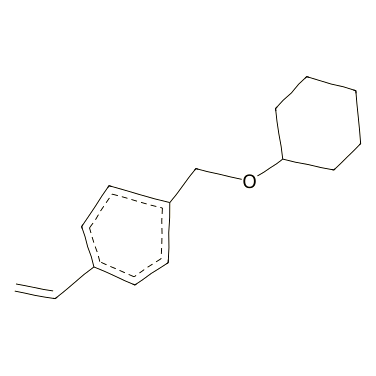 C=Cc1ccc(COC2CCCCC2)cc1